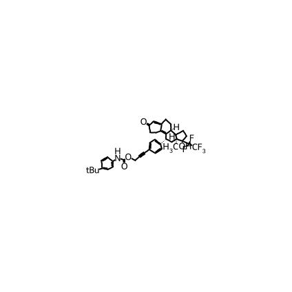 CC(C)(C)c1ccc(NC(=O)OCC#Cc2ccc([C@H]3C[C@@]4(C)[C@@H](CC[C@@]4(O)C(F)(F)C(F)(F)F)[C@@H]4CCC5=CC(=O)CCC5=C43)cc2)cc1